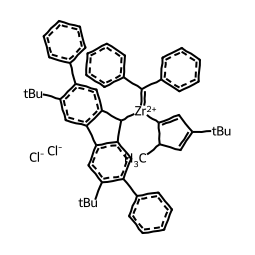 CC1C=C(C(C)(C)C)C=[C]1[Zr+2](=[C](c1ccccc1)c1ccccc1)[CH]1c2cc(-c3ccccc3)c(C(C)(C)C)cc2-c2cc(C(C)(C)C)c(-c3ccccc3)cc21.[Cl-].[Cl-]